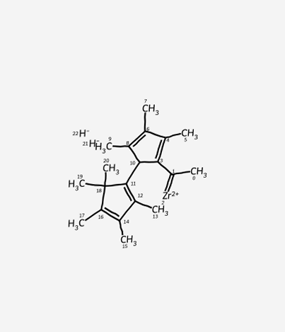 C[C](=[Zr+2])C1=C(C)C(C)=C(C)C1C1=C(C)C(C)=C(C)C1(C)C.[H-].[H-]